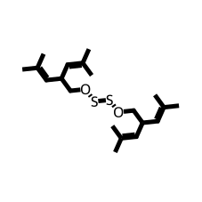 CC(C)=CC(C=C(C)C)COSSOCC(C=C(C)C)C=C(C)C